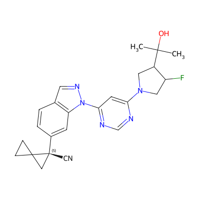 CC(C)(O)C1CN(c2cc(-n3ncc4ccc([C@]5(C#N)CC56CC6)cc43)ncn2)CC1F